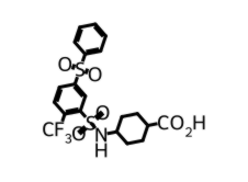 O=C(O)C1CCC(NS(=O)(=O)c2cc(S(=O)(=O)c3ccccc3)ccc2C(F)(F)F)CC1